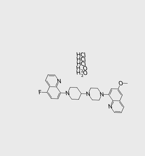 COc1cc(N2CCN(C3CCN(c4ccc(F)c5cccnc45)CC3)CC2)c2ncccc2c1.Cl.Cl.Cl.O.O